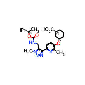 Cc1nc(-c2nnn(C)c2CNC(=O)O[C@H](C)C(C)C)ccc1O[C@H]1CCC[C@H](C(=O)O)C1